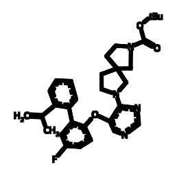 C=C(C)c1ccccc1-c1cc(F)ccc1Oc1cncnc1N1CCC2(CCN(C(=O)OC(C)(C)C)C2)C1